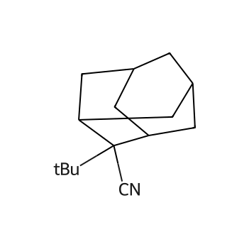 CC(C)(C)C1(C#N)C2CC3CC(C2)CC1C3